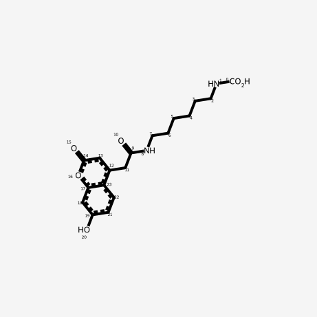 O=C(O)NCCCCCCNC(=O)Cc1cc(=O)oc2cc(O)ccc12